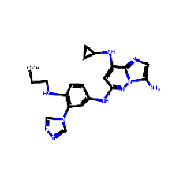 COCCNc1ccc(Nc2cc(NC3CC3)c3ncc(N)n3n2)cc1-n1cnnc1